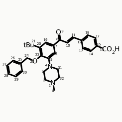 CN1CCN(c2cc(C(=O)C=Cc3ccc(C(=O)O)cc3)cc(C(C)(C)C)c2OCc2ccccc2)CC1